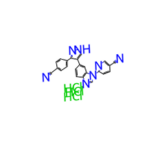 Cl.Cl.Cl.N#Cc1ccc(-c2n[nH]cc2-c2ccc3ncn(-c4ccc(C#N)cn4)c3c2)cc1